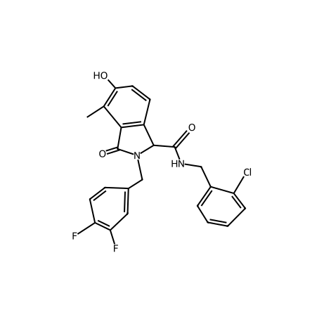 Cc1c(O)ccc2c1C(=O)N(Cc1ccc(F)c(F)c1)C2C(=O)NCc1ccccc1Cl